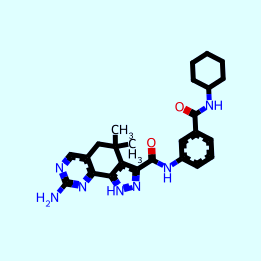 CC1(C)Cc2cnc(N)nc2-c2[nH]nc(C(=O)Nc3cccc(C(=O)NC4CCCCC4)c3)c21